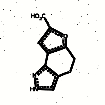 O=C(O)c1cc2c(o1)CCc1c[nH]nc1-2